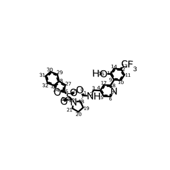 O=C(NCc1ccnc(-c2ccc(C(F)(F)F)cc2O)c1)[C@@H]1CCCN1S(=O)(=O)c1cc2ccccc2o1